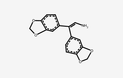 NC=C(c1ccc2c(c1)OCO2)c1ccc2c(c1)OCO2